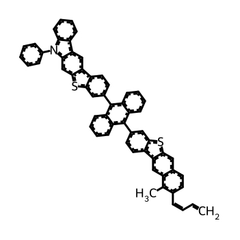 C=C/C=C\c1ccc2cc3sc4cc(-c5c6ccccc6c(-c6ccc7c(c6)sc6cc8c(cc67)c6ccccc6n8-c6ccccc6)c6ccccc56)ccc4c3cc2c1C